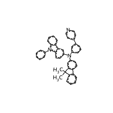 CC1(C)c2ccccc2-c2ccc(N(c3cccc(-c4ccncc4)c3)c3ccc4c(c3)c3ccccc3n4-c3ccccc3)cc21